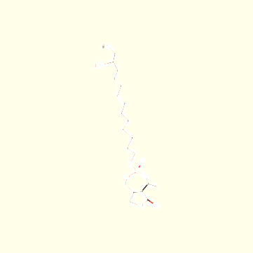 CC1=C2C(=O)OCC2COP(=O)(OCCCCCCCCCCCC(O)CC(C)C)O1